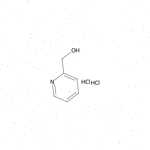 Cl.Cl.OCc1ccccn1